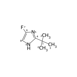 CC(C)(C)c1nc(F)c[nH]1